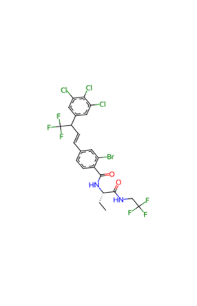 CC[C@H](NC(=O)c1ccc(/C=C/C(c2cc(Cl)c(Cl)c(Cl)c2)C(F)(F)F)cc1Br)C(=O)NCC(F)(F)F